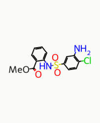 COC(=O)c1ccccc1NS(=O)(=O)c1ccc(Cl)c(N)c1